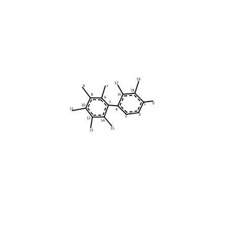 Cc1ccc(-c2c(C)c(C)c(C)c(C)c2C)c(C)c1C